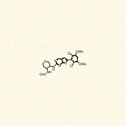 COc1cc(OC)c(Cl)c(-c2cc3cnc(NC4COCCC4NC=O)nc3s2)c1Cl